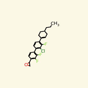 CCCC1CC=C(c2ccc(-c3ccc(C4CO4)c(F)c3F)c(Cl)c2F)CC1